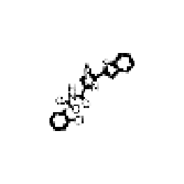 Cn1cc(C(=O)NS(=O)(=O)c2ccccc2Cl)nc1-c1cc2ccccc2s1